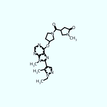 CCn1ncc(-c2nc3c(OC4CCN(C(=O)C5CC(=O)N(C)C5)C4)ncnc3n2C)c1C